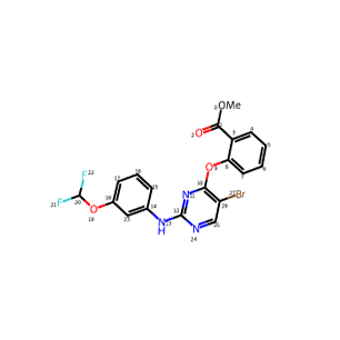 COC(=O)c1ccccc1Oc1nc(Nc2cccc(OC(F)F)c2)ncc1Br